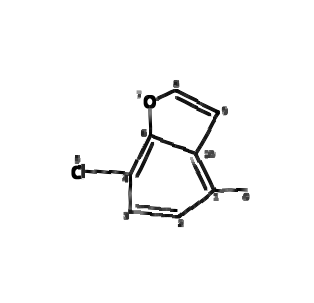 Cc1ccc(Cl)c2occc12